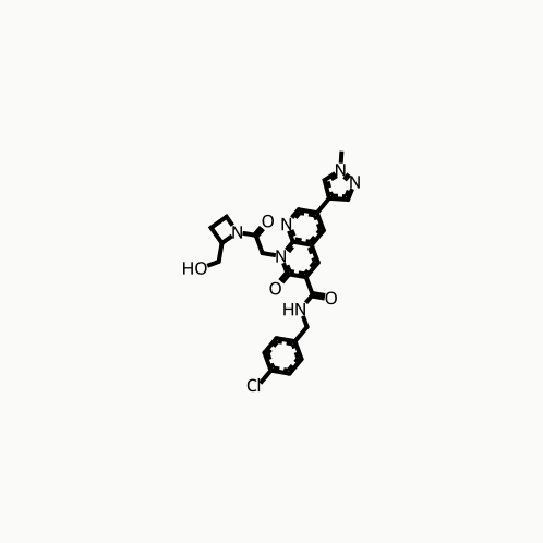 Cn1cc(-c2cnc3c(c2)cc(C(=O)NCc2ccc(Cl)cc2)c(=O)n3CC(=O)N2CCC2CO)cn1